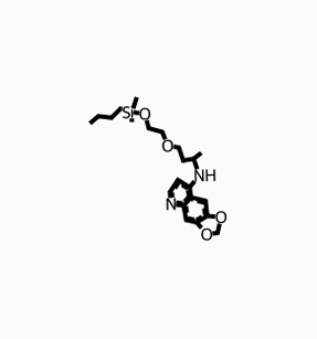 CCCC[Si](C)(C)OCCOCCC(C)Nc1ccnc2cc3c(cc12)OCO3